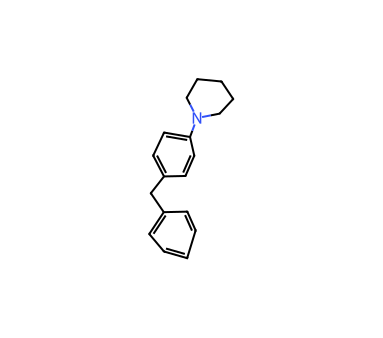 c1ccc(Cc2ccc(N3CCCCC3)cc2)cc1